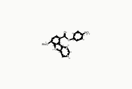 COc1ccc(C(=O)Oc2ccc([N+](=O)[O-])cc2)c2c1oc1cncnc12